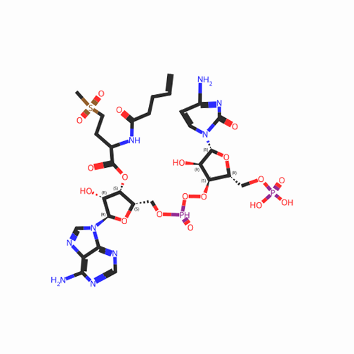 C=CCCC(=O)NC(CCS(C)(=O)=O)C(=O)O[C@H]1[C@@H](O)[C@H](n2cnc3c(N)ncnc32)O[C@H]1CO[PH](=O)OO[C@H]1[C@@H](O)[C@H](n2ccc(N)nc2=O)O[C@@H]1COP(=O)(O)O